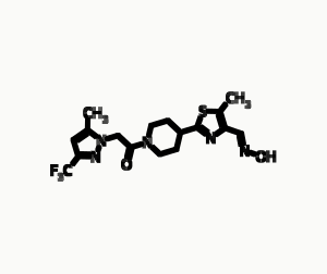 Cc1sc(C2CCN(C(=O)Cn3nc(C(F)(F)F)cc3C)CC2)nc1C=NO